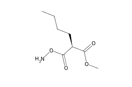 CCCC[C@@H](C(=O)OC)C(=O)ON